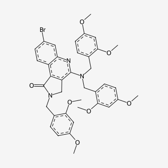 COc1ccc(CN2Cc3c(N(Cc4ccc(OC)cc4OC)Cc4ccc(OC)cc4OC)nc4cc(Br)ccc4c3C2=O)c(OC)c1